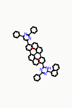 c1ccc(C2=NC(c3cccc4ccccc34)NC(c3ccc(-c4ccc5ccccc5c4-c4c(-c5ccc(-c6cc(-c7ccccc7)nc(-c7ccccc7)n6)cc5)ccc5ccccc45)cc3)=N2)cc1